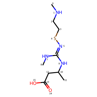 CNCCS/N=C(\NC)NC(C)CC(=O)O